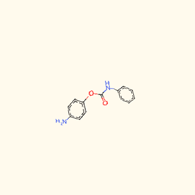 Nc1ccc(OC(=O)Nc2ccccc2)cc1